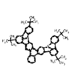 CC(C)(C)c1ccc2c(c1)c1cc(C(C)(C)C)cc3c4cc5c6ccccc6c6cc7c8cc(C(C)(C)C)cc9c%10cc(C(C)(C)C)ccc%10n(c7cc6c5cc4n2c13)c98